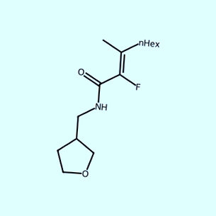 CCCCCCC(C)=C(F)C(=O)NCC1CCOC1